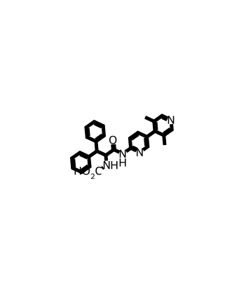 Cc1cncc(C)c1-c1ccc(NC(=O)C(NC(=O)O)C(c2ccccc2)c2ccccc2)nc1